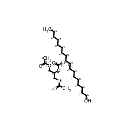 CC(=O)OCC(COC(C)=O)OC(C)=O.CCCCCCCCCCCCCCCCCCO